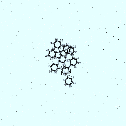 c1ccc(-c2nc(-c3ccccc3)nc(-c3cccc(-c4ccccc4-c4cccc5c4C(c4ccccc4)(c4ccccc4)c4ccccc4-5)c3)n2)cc1